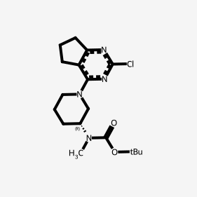 CN(C(=O)OC(C)(C)C)[C@@H]1CCCN(c2nc(Cl)nc3c2CCC3)C1